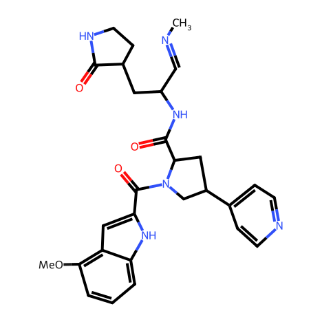 CN=CC(CC1CCNC1=O)NC(=O)C1CC(c2ccncc2)CN1C(=O)c1cc2c(OC)cccc2[nH]1